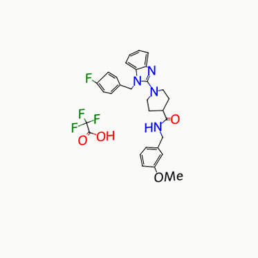 COc1cccc(CNC(=O)C2CCN(c3nc4ccccc4n3Cc3ccc(F)cc3)CC2)c1.O=C(O)C(F)(F)F